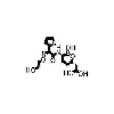 O=C(N[C@H]1CC[C@@H](CC(O)O)OB1O)/C(=N\OCCO)c1cccs1